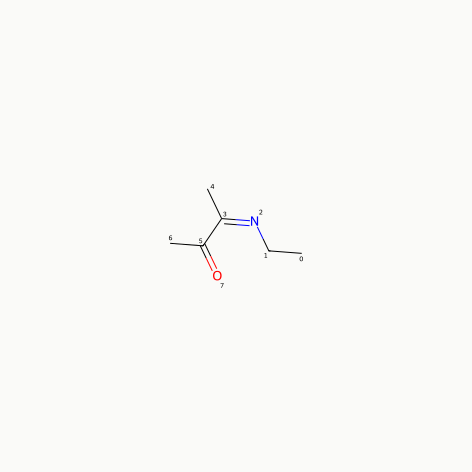 CCN=C(C)C(C)=O